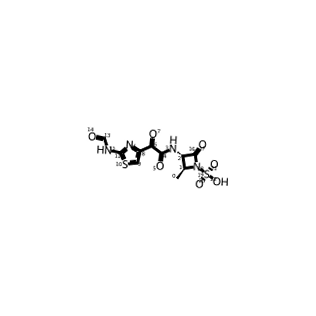 C[C@H]1[C@H](NC(=O)C(=O)c2csc(NC=O)n2)C(=O)N1S(=O)(=O)O